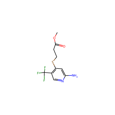 COC(=O)CCSc1cc(N)ncc1C(F)(F)F